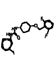 O=C(Nc1cccc(I)c1)N[C@H]1CC[C@H](OCc2c(F)cccc2F)CC1